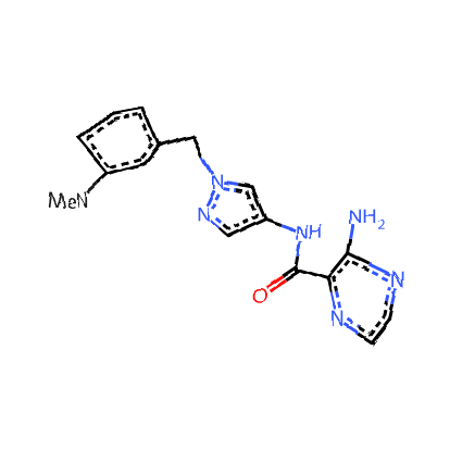 CNc1cccc(Cn2cc(NC(=O)c3nccnc3N)cn2)c1